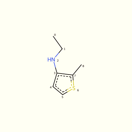 CCNc1ccsc1C